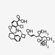 CCC(C(C/C=C/C(O)[C@@H]1CC[C@H]1CN1C[C@@]2(CCCc3ccccc32)COc2ccc(C(=O)O)c(Cl)c21)OC)S(N)(=O)=O